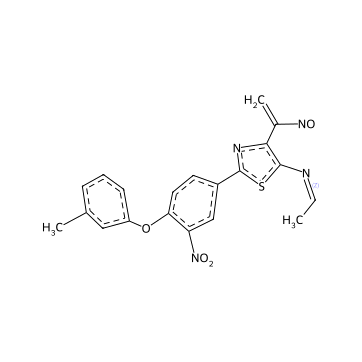 C=C(N=O)c1nc(-c2ccc(Oc3cccc(C)c3)c([N+](=O)[O-])c2)sc1/N=C\C